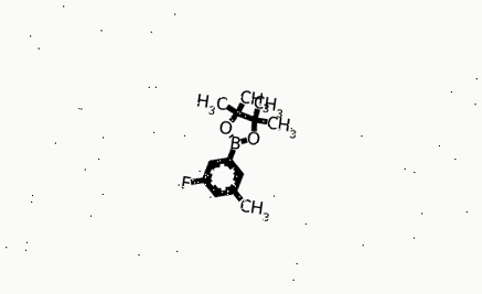 Cc1cc(F)cc(B2OC(C)(C)C(C)(C)O2)c1